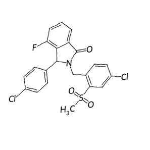 CS(=O)(=O)c1cc(Cl)ccc1CN1C(=O)c2cccc(F)c2C1c1ccc(Cl)cc1